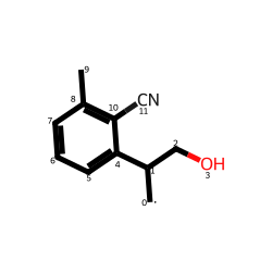 [CH2]C(CO)c1cccc(C)c1C#N